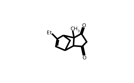 CCC1=CC2CC1C1(C)C(=O)CC(=O)C21